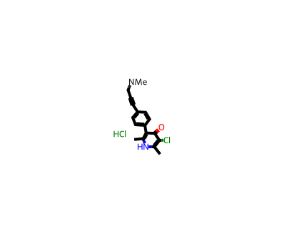 CNCC#Cc1ccc(-c2c(C)[nH]c(C)c(Cl)c2=O)cc1.Cl